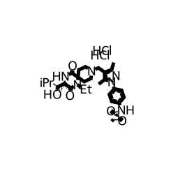 CCN1C(=O)[C@@H]([C@H](O)C(C)C)NC(=O)C12CCN(Cc1c(C)nn(-c3ccc(NS(C)(=O)=O)cc3)c1C)CC2.Cl.Cl